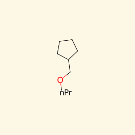 CCCOCC1CCCC1